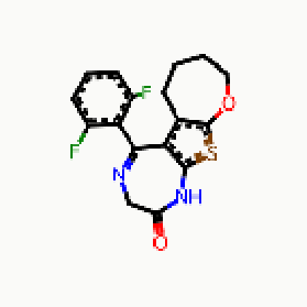 O=C1CN=C(c2c(F)cccc2F)c2c(sc3c2CCCCO3)N1